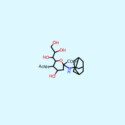 CC(=O)NC1C(O)CC(NC23CC4CC(CC(C4)C2)C3)(C(=O)O)OC1C(O)C(O)CO